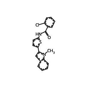 Cn1c(-c2ccc(NC(=O)c3ccccc3Cl)s2)cc2ccccc21